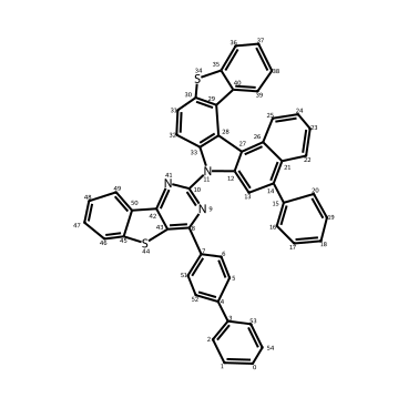 c1ccc(-c2ccc(-c3nc(-n4c5cc(-c6ccccc6)c6ccccc6c5c5c6c(ccc54)sc4ccccc46)nc4c3sc3ccccc34)cc2)cc1